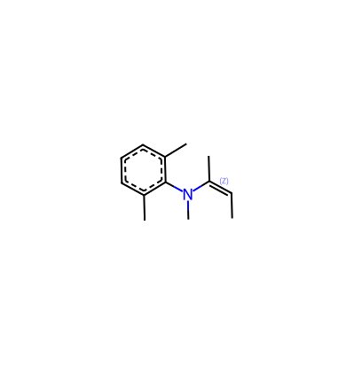 C/C=C(/C)N(C)c1c(C)cccc1C